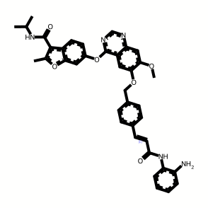 COc1cc2ncnc(Oc3ccc4c(C(=O)NC(C)C)c(C)oc4c3)c2cc1OCc1ccc(/C=C/C(=O)Nc2ccccc2N)cc1